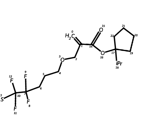 C=C(COCCCC(F)(F)C(F)(F)S(=O)(=O)O)C(=O)OC1(C(C)C)CCCC1